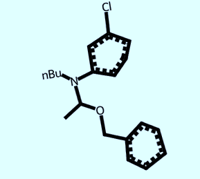 CCCCN(c1cccc(Cl)c1)C(C)OCc1ccccc1